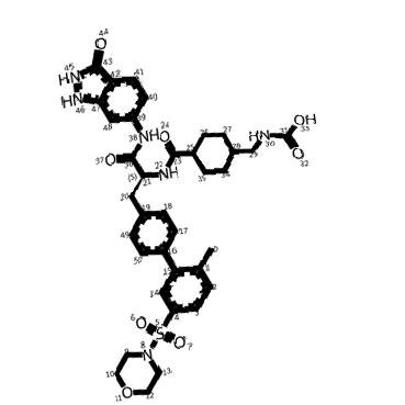 Cc1ccc(S(=O)(=O)N2CCOCC2)cc1-c1ccc(C[C@H](NC(=O)C2CCC(CNC(=O)O)CC2)C(=O)Nc2ccc3c(=O)[nH][nH]c3c2)cc1